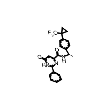 C[C@H](NC(=O)c1cc(=O)[nH]c(-c2ccccc2)n1)c1ccc(C2(C(F)(F)F)CC2)cc1